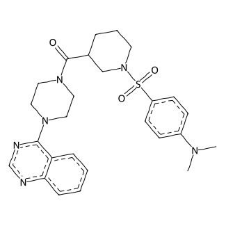 CN(C)c1ccc(S(=O)(=O)N2CCCC(C(=O)N3CCN(c4ncnc5ccccc45)CC3)C2)cc1